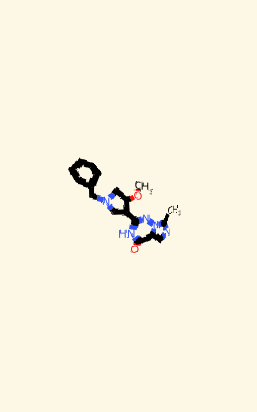 COC1CN(Cc2ccccc2)CC1c1nn2c(C)ncc2c(=O)[nH]1